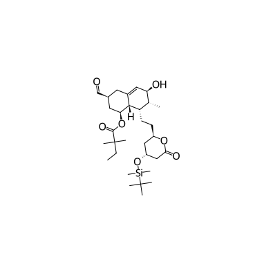 CCC(C)(C)C(=O)O[C@H]1C[C@@H](C=O)CC2=C[C@@H](O)[C@H](C)[C@H](CC[C@@H]3C[C@@H](O[Si](C)(C)C(C)(C)C)CC(=O)O3)[C@@H]21